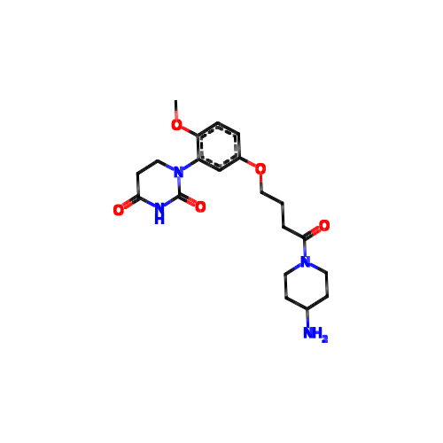 COc1ccc(OCCCC(=O)N2CCC(N)CC2)cc1N1CCC(=O)NC1=O